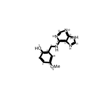 COc1ccc(O)c(CNc2ncnc3[nH]cnc23)c1